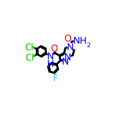 NC(=O)N1CCn2nc(-c3cccc(F)c3)c(C(=O)Nc3ccc(Cl)c(Cl)c3)c2C1